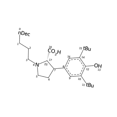 CCCCCCCCCCCCCN1CCC(c2cc(C(C)(C)C)c(O)c(C(C)(C)C)c2)[C@H]1C(=O)O